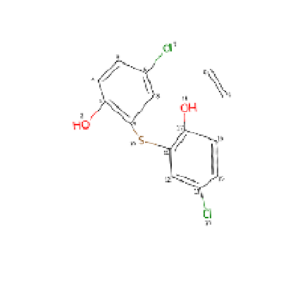 C=C.Oc1ccc(Cl)cc1Sc1cc(Cl)ccc1O